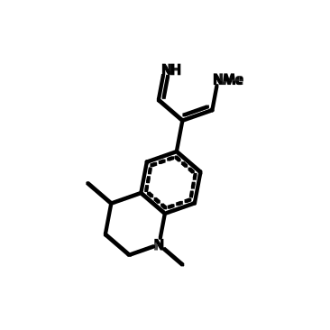 CN/C=C(\C=N)c1ccc2c(c1)C(C)CCN2C